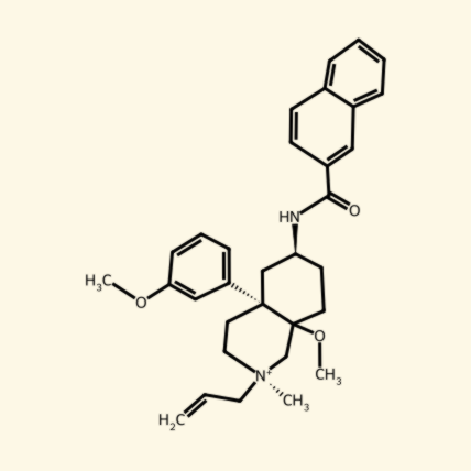 C=CC[N@@+]1(C)CC[C@@]2(c3cccc(OC)c3)C[C@@H](NC(=O)c3ccc4ccccc4c3)CCC2(OC)C1